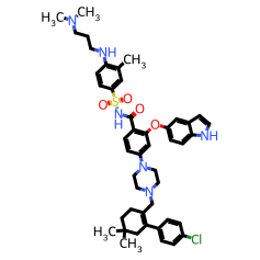 Cc1cc(S(=O)(=O)NC(=O)c2ccc(N3CCN(CC4=C(c5ccc(Cl)cc5)CC(C)(C)CC4)CC3)cc2Oc2ccc3[nH]ccc3c2)ccc1NCCCN(C)C